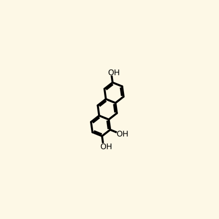 Oc1ccc2cc3c(O)c(O)ccc3cc2c1